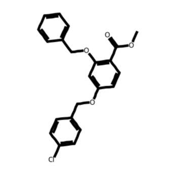 COC(=O)c1ccc(OCc2ccc(Cl)cc2)cc1OCc1ccccc1